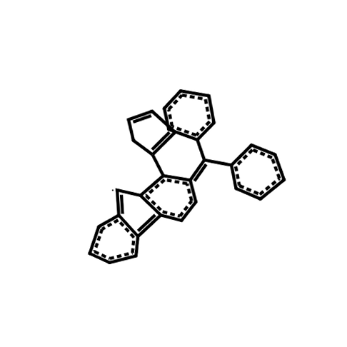 [C]1=c2ccccc2=c2ccc(=C(c3ccccc3)c3ccccc3)c(C3=CC=CC3)c21